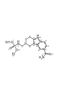 CCOP(=O)(NCC1CCc2[nH]c3ccc(C(N)=O)cc3c2C1)OCC